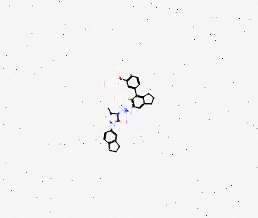 CC1=NN(c2ccc3c(c2)CCC3)C(=O)/C1=N\Nc1cc2c(c(-c3ccc(F)c(C(=O)O)c3)c1O)CCC2